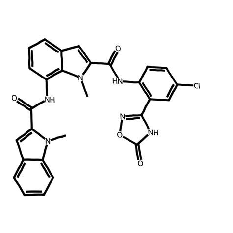 Cn1c(C(=O)Nc2cccc3cc(C(=O)Nc4ccc(Cl)cc4-c4noc(=O)[nH]4)n(C)c23)cc2ccccc21